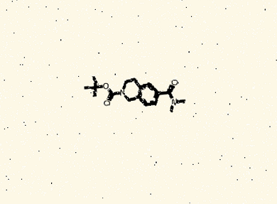 CN(C)C(=O)c1ccc2c(c1)CCN(C(=O)OC(C)(C)C)C2